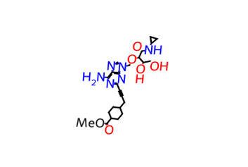 COC(=O)C1CCC(CC#Cc2nc(N)c3ncn(COC(C(=O)NC4CC4)C(O)CO)c3n2)CC1